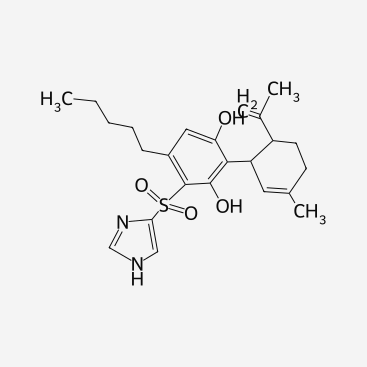 C=C(C)C1CCC(C)=CC1c1c(O)cc(CCCCC)c(S(=O)(=O)c2c[nH]cn2)c1O